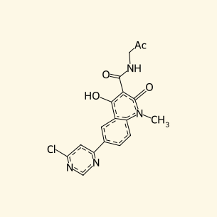 CC(=O)CNC(=O)c1c(O)c2cc(-c3cc(Cl)ncn3)ccc2n(C)c1=O